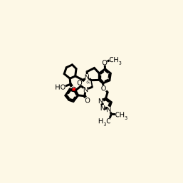 COc1ccc(OCc2cn(C(C)C)nn2)c2c1CCN(C(=O)C1CCCCC1C(=O)O)[C@@H]2CN1Cc2ccccc2C1=O